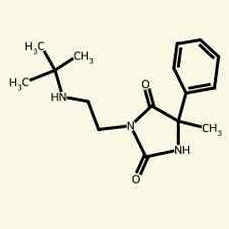 CC(C)(C)NCCN1C(=O)NC(C)(c2ccccc2)C1=O